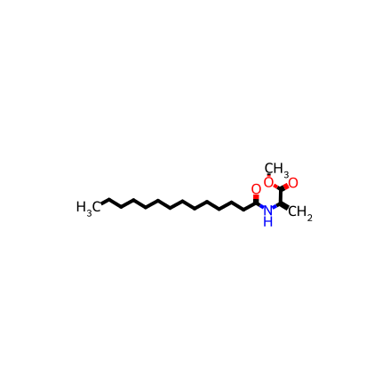 C=C(NC(=O)CCCCCCCCCCCCC)C(=O)OC